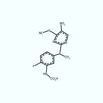 CN(c1ccc(F)c(NC(=O)O)c1)c1ncc([N+](=O)[O-])c(SC#N)n1